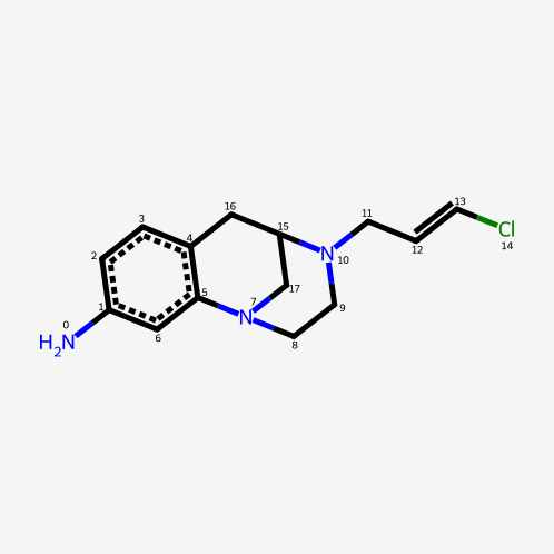 Nc1ccc2c(c1)N1CCN(CC=CCl)C(C2)C1